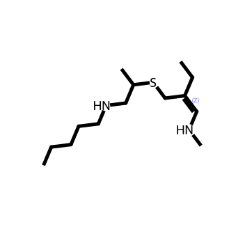 CCCCCNCC(C)SC/C(=C\NC)CC